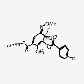 CCCCCOC(=O)C1=CC(=NOC)[C@@](F)(Cl)C(OC(=O)c2ccc(Cl)cc2)=C1O